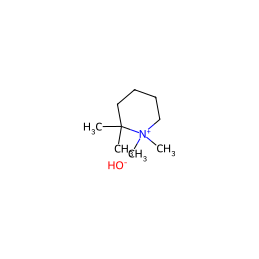 CC1(C)CCCC[N+]1(C)C.[OH-]